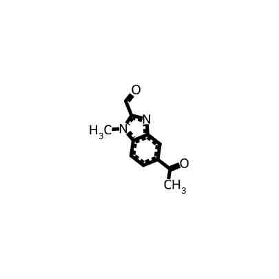 CC(=O)c1ccc2c(c1)nc(C=O)n2C